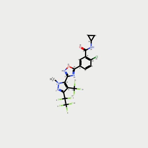 Cn1nc(C(F)(F)C(F)(F)F)c(C(F)(F)F)c1-c1noc(-c2ccc(Cl)c(C(=O)NC3CC3)c2)n1